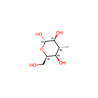 C[C@@H]1[C@@H](O)[C@@H](CO)O[C@H](O)[C@H]1O